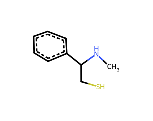 CNC(CS)c1ccccc1